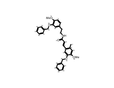 COc1ccc(CCNC(=O)C=Cc2cc(OCc3ccccc3)c(OC)cc2C)cc1OCc1ccccc1